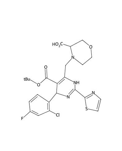 CC(C)(C)OC(=O)C1=C(CN2CCOCC2C(=O)O)NC(c2nccs2)=NC1c1ccc(F)cc1Cl